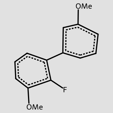 COc1cccc(-c2cccc(OC)c2F)c1